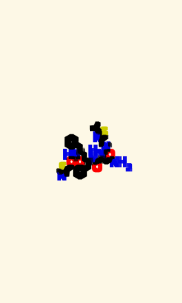 CC(C)C1=NC(CN(C)C(=O)N[C@@H](CCN)C(=O)N[C@H](CC[C@H](Cc2ccccc2)NC(=O)OCc2cncs2)Cc2ccccc2)CS1